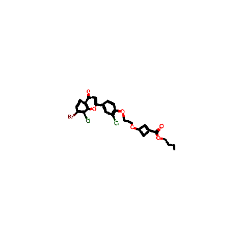 CCCCOC(=O)C1CC(OCCOc2ccc(-c3cc(=O)c4ccc(Br)c(Cl)c4o3)cc2Cl)C1